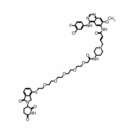 COc1cc2ncnc(Nc3ccc(F)c(Cl)c3)c2cc1NC(=O)/C=C/CN1CCC(NC(=O)COCCOCCOCCOCCOCCSc2cccc3c2CN(C2CCC(=O)NC2=O)C3=O)CC1